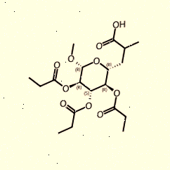 CCC(=O)O[C@@H]1[C@@H](OC(=O)CC)[C@H](OC)O[C@H](CC(C)C(=O)O)[C@H]1OC(=O)CC